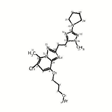 CCCOCCCOc1cc(Cl)c(C)n2nc(CCc3nc(N4CCCC4)nn3C)nc12